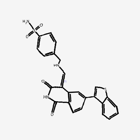 NS(=O)(=O)c1ccc(CN/C=C2\C(=O)NC(=O)c3ccc(-c4csc5ccccc45)cc32)cc1